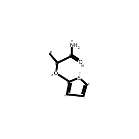 CC(Oc1cccs1)C(N)=O